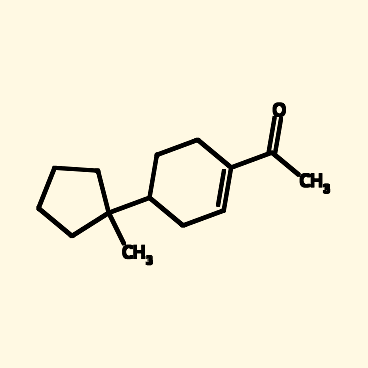 CC(=O)C1=CCC(C2(C)CCCC2)CC1